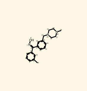 Cc1cccc(/C(=N/O)c2cccc(CN3CCN(C)CC3)c2)c1